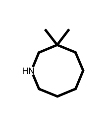 CC1(C)CCCCCNC1